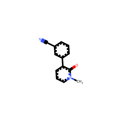 Cn1cccc(-c2cccc(C#N)c2)c1=O